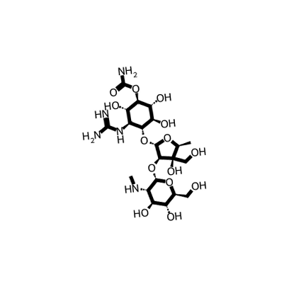 CN[C@@H]1[C@H](O[C@H]2[C@H](O[C@H]3[C@H](O)[C@@H](O)[C@H](OC(N)=O)[C@@H](O)[C@@H]3NC(=N)N)O[C@@H](C)[C@]2(O)CO)O[C@@H](CO)[C@H](O)[C@H]1O